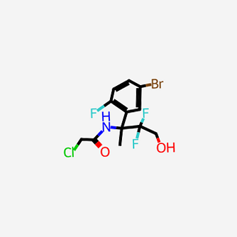 CC(NC(=O)CCl)(c1cc(Br)ccc1F)C(F)(F)CO